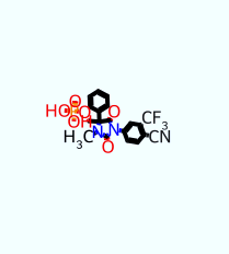 CN1C(=O)N(c2ccc(C#N)c(C(F)(F)F)c2)C(=O)C1(COP(=O)(O)O)c1ccccc1